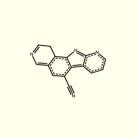 N#Cc1cc2c(c3c1=c1cccnc1=N3)CC=NC=2